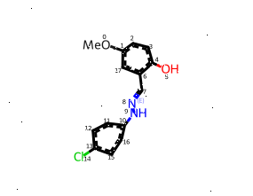 COc1ccc(O)c(/C=N/Nc2ccc(Cl)cc2)c1